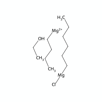 CCCCC[CH2][Mg][Cl].CCC[CH2][Mg+2].CCO